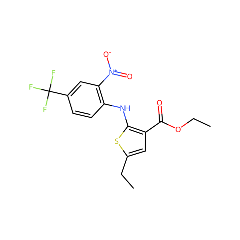 CCOC(=O)c1cc(CC)sc1Nc1ccc(C(F)(F)F)cc1[N+](=O)[O-]